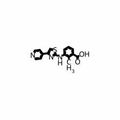 Cc1c(Nc2nc(-c3ccncc3)cs2)cccc1C(=O)O